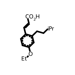 CCOc1ccc(C=CC(=O)O)c(CCC(C)C)c1